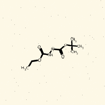 CCOC(=O)N[N]C(=O)OC(C)(C)C